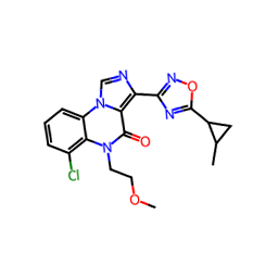 COCCn1c(=O)c2c(-c3noc(C4CC4C)n3)ncn2c2cccc(Cl)c21